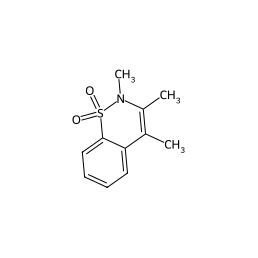 CC1=C(C)N(C)S(=O)(=O)c2ccccc21